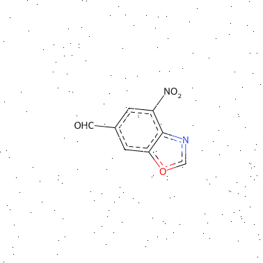 O=Cc1cc([N+](=O)[O-])c2ncoc2c1